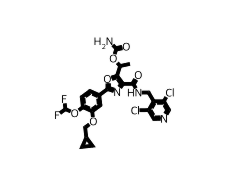 CC(OC(N)=O)c1oc(-c2ccc(OC(F)F)c(OCC3CC3)c2)nc1C(=O)NCc1c(Cl)cncc1Cl